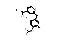 CC(C)c1ccnc(Cc2ccc(OC(F)F)c(F)c2)c1